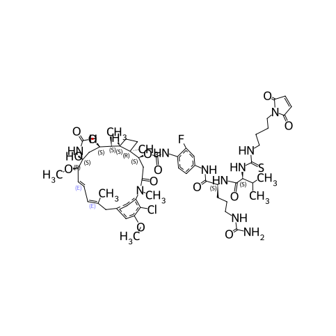 COc1cc2cc(c1Cl)N(C)C(=O)C[C@H](OC(=O)Nc1ccc(NC(=O)[C@H](CCCNC(N)=O)NC(=O)[C@@H](NC(=S)NCCCCN3C(=O)C=CC3=O)C(C)C)cc1F)[C@]1(C)CC[C@H]1[C@H](C)[C@@H]1C[C@@](O)(NC(=O)O1)[C@H](OC)/C=C/C=C(\C)C2